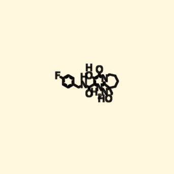 NC1(CO)CCCCn2c1nc(C(=O)NCc1ccc(F)cc1)c(O)c2=O